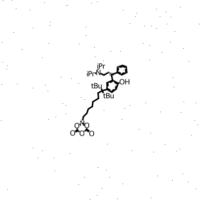 CC(C)N(CC[C@H](c1ccccc1)c1cc(C(CCCCCCCN2OC(=O)OC(=O)O2)(C(C)(C)C)C(C)(C)C)ccc1O)C(C)C